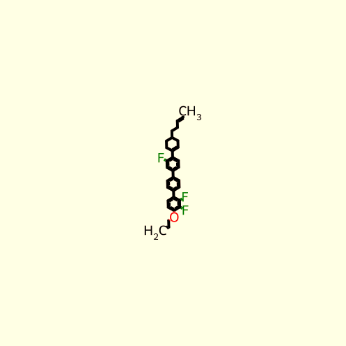 C=CCOc1ccc(-c2ccc(-c3ccc(C4=CCC(CC/C=C/C)CC4)c(F)c3)cc2)c(F)c1F